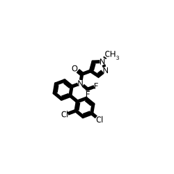 Cn1cc(C(=O)N(c2ccccc2-c2ccc(Cl)cc2Cl)C(F)F)cn1